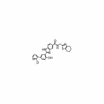 COc1ncccc1-c1ccc(O)c(-c2nc3cc(C(=O)NCc4nc5c(s4)CCCC5)ccc3[nH]2)c1